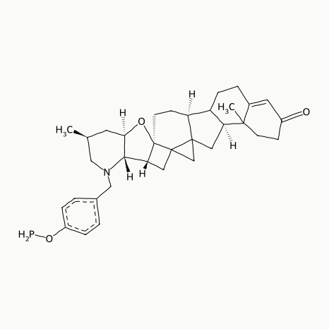 C[C@H]1C[C@H]2O[C@@]34CC[C@H]5C6CCC7=CC(=O)CCC7(C)[C@H]6CC56CC63C[C@@H]4[C@@H]2N(Cc2ccc(OP)cc2)C1